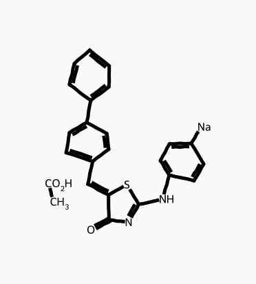 CC(=O)O.O=C1N=C(Nc2cc[c]([Na])cc2)SC1=Cc1ccc(-c2ccccc2)cc1